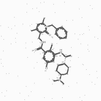 Cc1cc(C)n(Cc2ccccc2)c(=O)c1CNC(=O)c1cc(Cl)cc(NC(C)[C@H]2CC[C@H](N(C)C)CC2)c1C